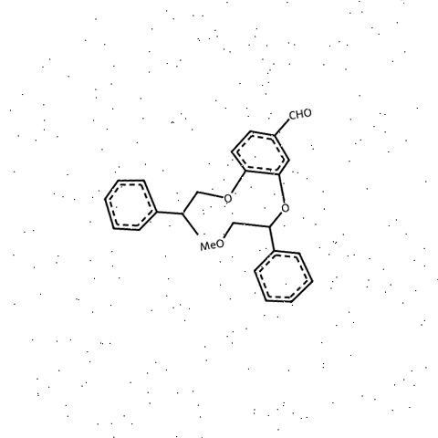 COCC(Oc1cc(C=O)ccc1OCC(C)c1ccccc1)c1ccccc1